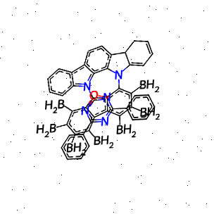 Bc1c(B)c(B)c2c(oc3c(N4C5=CC=CCC5c5ccc6c7ccccc7n(-c7nc(-c8ccccc8)nc(-c8ccccc8)n7)c6c54)c(B)c(B)c(B)c32)c1B